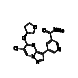 CNC(=O)c1cncc(-c2cnn3cc(Cl)c(O[C@H]4CCOC4)nc23)c1